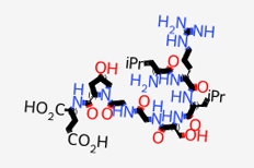 CC(C)C[C@@H](N)C(=O)N[C@H](CCCNC(=N)N)C(=O)N[C@@H](CC(C)C)C(=O)N[C@@H](CO)C(=O)NCC(=O)NCC(=O)N1C[C@H](O)C[C@H]1C(=O)N[C@@H](CCC(=O)O)C(=O)O